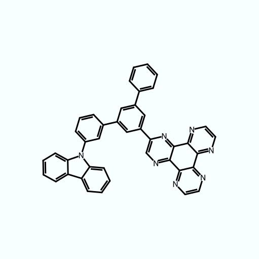 c1ccc(-c2cc(-c3cccc(-n4c5ccccc5c5ccccc54)c3)cc(-c3cnc4c5nccnc5c5nccnc5c4n3)c2)cc1